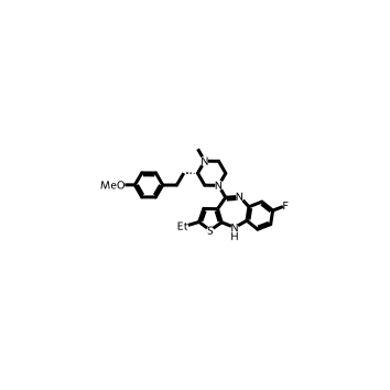 CCc1cc2c(s1)Nc1ccc(F)cc1N=C2N1CCN(C)[C@@H](CCc2ccc(OC)cc2)C1